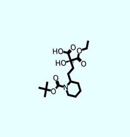 CCOC(=O)[C@](O)(CCC1CCCCN1C(=O)OC(C)(C)C)C(=O)O